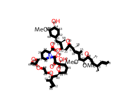 C/C=C/[C@@H](C)C[C@@H](C)C(=O)[C@H](OC)[C@H](OC)/C(C)=C/[C@@H](C)C(=O)C[C@H](OC(=O)[C@@H]1CCCCN1C(=O)C(=O)[C@]1(O)O[C@H](CC(OCCOC2COC2)/C(C)=C/C)CC[C@H]1C)[C@H](C)C[C@@H]1CC[C@@H](O)[C@H](OC)C1